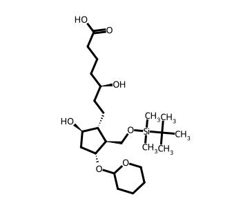 CC(C)(C)[Si](C)(C)OC[C@@H]1[C@@H](CC[C@H](O)CCCC(=O)O)[C@H](O)C[C@H]1OC1CCCCO1